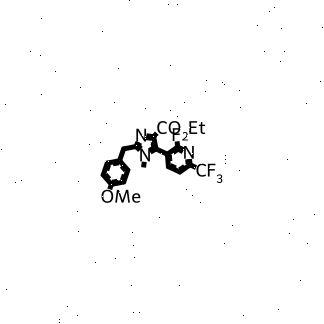 CCOC(=O)c1nc(Cc2ccc(OC)cc2)n(C)c1-c1ccc(C(F)(F)F)nc1F